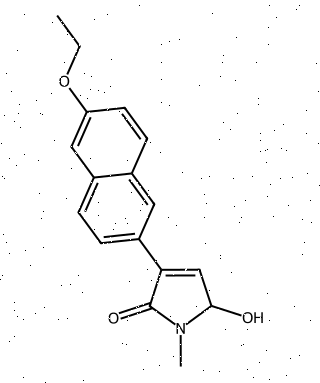 CCOc1ccc2cc(C3=CC(O)N(C)C3=O)ccc2c1